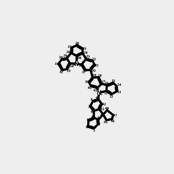 c1ccc2c(c1)-c1ccc(-n3c4ccccc4c4cc(-c5ccc6c7cccc8c9ccccc9n(c6c5)c87)ccc43)cc1C21CCCC1